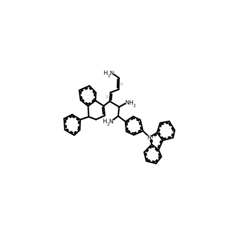 N/C=C\C=C(\C1=CCC(c2ccccc2)c2ccccc21)C(N)C(N)c1ccc(-n2c3ccccc3c3ccccc32)cc1